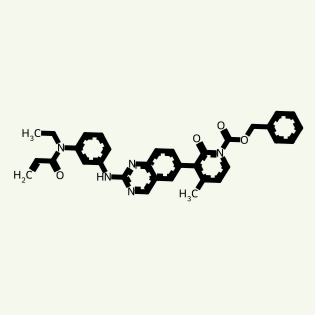 C=CC(=O)N(CC)c1cccc(Nc2ncc3cc(-c4c(C)ccn(C(=O)OCc5ccccc5)c4=O)ccc3n2)c1